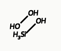 OO.O[SiH3]